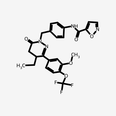 CCC1CC(=O)N(Cc2ccc(NC(=O)c3ccno3)cc2)N=C1c1ccc(OC(F)(F)F)c(OC)c1